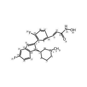 CN1CCC[C@@H](n2c(-c3cc(/C=C/C(=O)NO)ccc3F)nc3cc(F)ccc32)C1